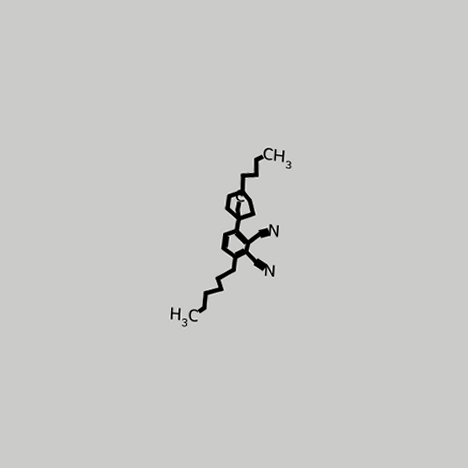 CCCCCCc1ccc(C23CCC(CCCC)(CC2)CC3)c(C#N)c1C#N